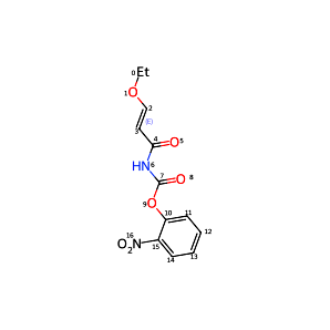 CCO/C=C/C(=O)NC(=O)Oc1ccccc1[N+](=O)[O-]